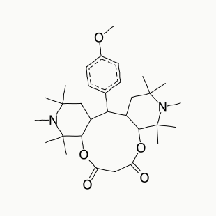 COc1ccc(C2C3CC(C)(C)N(C)C(C)(C)C3OC(=O)CC(=O)OC3C2CC(C)(C)N(C)C3(C)C)cc1